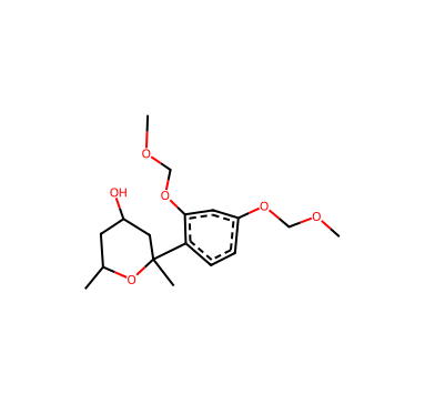 COCOc1ccc(C2(C)CC(O)CC(C)O2)c(OCOC)c1